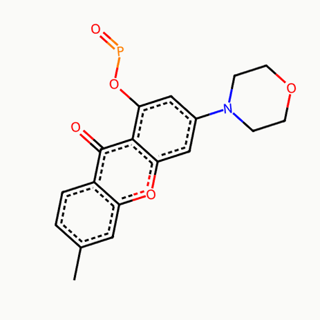 Cc1ccc2c(=O)c3c(OP=O)cc(N4CCOCC4)cc3oc2c1